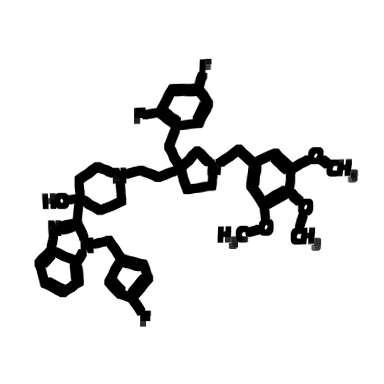 COc1cc(CN2CCC(CCN3CCC(O)(c4nc5ccccc5n4Cc4ccc(F)cc4)CC3)(Cc3ccc(F)cc3F)C2)cc(OC)c1OC